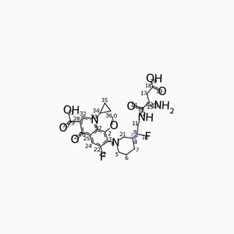 COc1c(N2CCC/C(=C(\F)CNC(=O)[C@@H](N)CC(=O)O)C2)c(F)cc2c(=O)c(C(=O)O)cn(C3CC3)c12